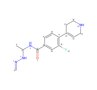 C=NNC(C)NC(=O)c1ccc(C2=CCNCC2)c(F)c1